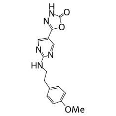 COc1ccc(CCNc2ncc(-c3n[nH]c(=O)o3)cn2)cc1